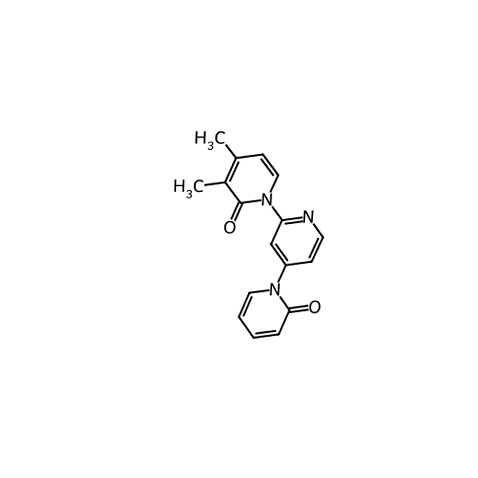 Cc1ccn(-c2cc(-n3ccccc3=O)ccn2)c(=O)c1C